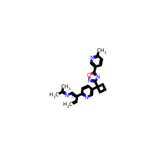 C=C/C(=C\N=C(C)C)c1ccc(C2(c3noc(-c4ccc(C)nc4)n3)CCC2)cn1